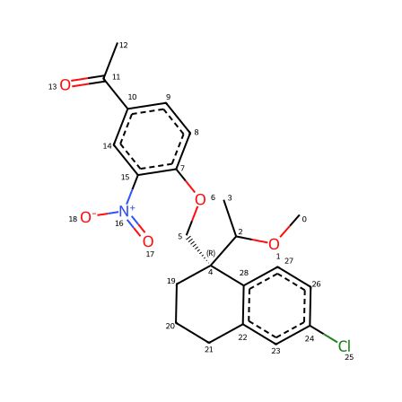 COC(C)[C@]1(COc2ccc(C(C)=O)cc2[N+](=O)[O-])CCCc2cc(Cl)ccc21